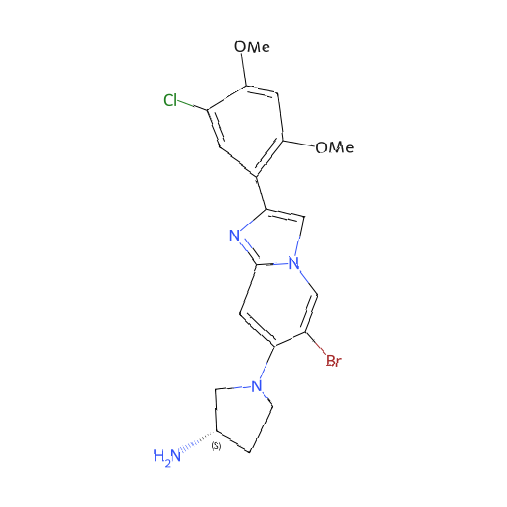 COc1cc(OC)c(-c2cn3cc(Br)c(N4CC[C@H](N)C4)cc3n2)cc1Cl